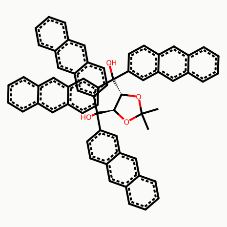 CC1(C)O[C@@H](C(O)(c2ccc3cc4ccccc4cc3c2)c2ccc3cc4ccccc4cc3c2)[C@H](C(O)(c2ccc3cc4ccccc4cc3c2)c2ccc3cc4ccccc4cc3c2)O1